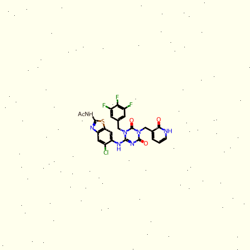 CC(=O)Nc1nc2cc(Cl)c(Nc3nc(=O)n(Cc4ccc[nH]c4=O)c(=O)n3Cc3cc(F)c(F)c(F)c3)cc2s1